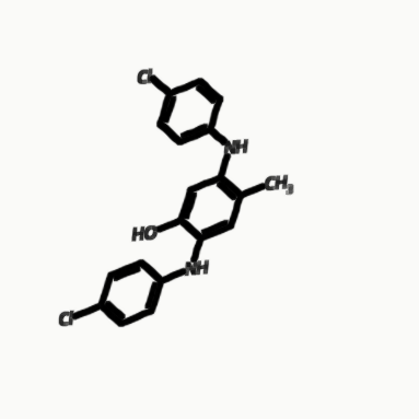 Cc1cc(Nc2ccc(Cl)cc2)c(O)cc1Nc1ccc(Cl)cc1